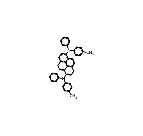 Cc1ccc(N(C2=CCc3ccc4c(N(c5ccccc5)c5ccc(C)cc5)ccc5c4c3C2=CC5)c2ccccc2)cc1